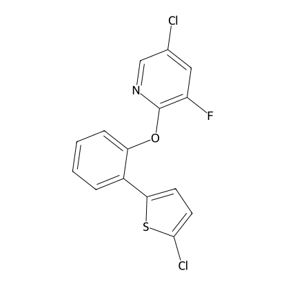 Fc1cc(Cl)cnc1Oc1ccccc1-c1ccc(Cl)s1